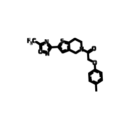 Cc1ccc(OCC(=O)N2CCc3sc(-c4noc(C(F)(F)F)n4)cc3C2)cc1